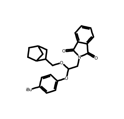 CCC(C)c1ccc(OC(CN2C(=O)c3ccccc3C2=O)OCC2CC3CCC2C3)cc1